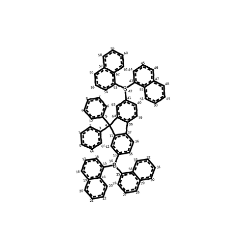 c1ccc(C2(c3ccccc3)c3cc(B(c4cccc5ccccc45)c4cccc5ccccc45)ccc3-c3ccc(B(c4cccc5ccccc45)c4cccc5ccccc45)cc32)cc1